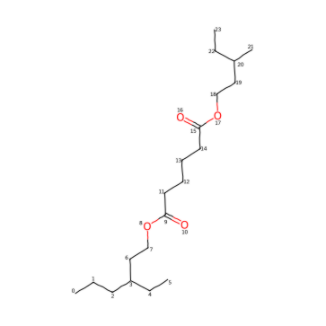 CCCC(CC)CCOC(=O)CCCCC(=O)OCCC(C)CC